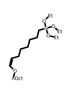 CCCCCCCCO/C=C\CCCCCC[Si](OCC)(OCC)OCC